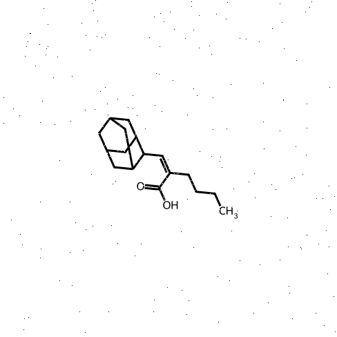 CCCCC(=CC1C2CC3CC(C2)CC1C3)C(=O)O